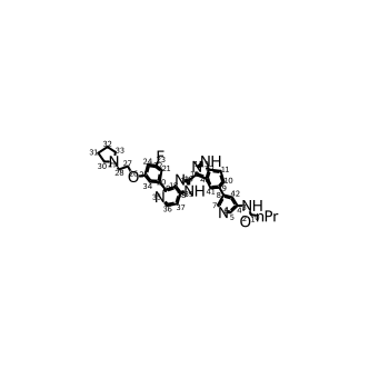 CCCC(=O)Nc1cncc(-c2ccc3[nH]nc(-c4nc5c(-c6cc(F)cc(OCCN7CCCC7)c6)nccc5[nH]4)c3c2)c1